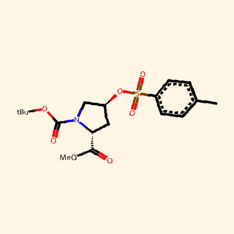 COC(=O)[C@H]1C[C@H](OS(=O)(=O)c2ccc(C)cc2)CN1C(=O)OC(C)(C)C